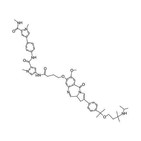 CNC(=O)c1cc(-c2ccc(NC(=O)c3cc(NC(=O)CCCOc4cc5c(cc4OC)C(=O)N4C=C(c6ccc(C(C)(C)OCCC(C)(C)NC(C)C)cc6)CC4C=N5)cn3C)cc2)cn1C